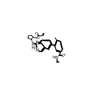 C=CC(=O)NC1CCCC1Nc1ncc2cc(-c3cc(C(=O)NC4CC4)ccc3C)ccc2n1